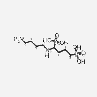 NCCCCNC(CCCP(=O)(O)O)P(=O)(O)O